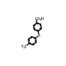 CCOC(=O)c1ccc(Oc2ccc(C(F)(F)F)cc2)cc1